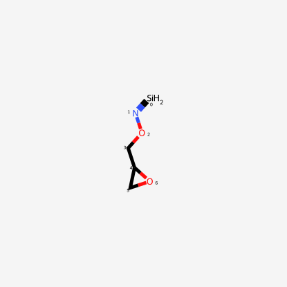 [SiH2]=NOCC1CO1